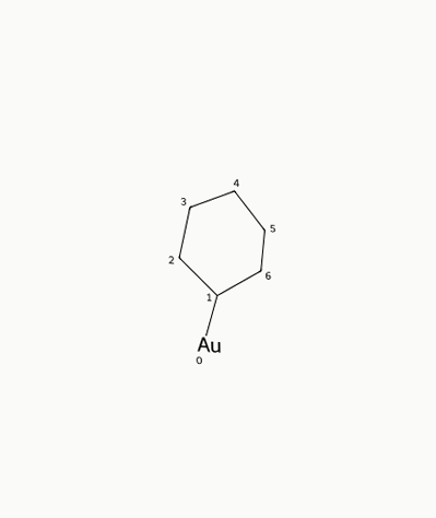 [Au][CH]1CCCCC1